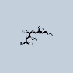 C=C/C=C(\C)CN=C(C)/C(C)=C/C(=C)C(C)C